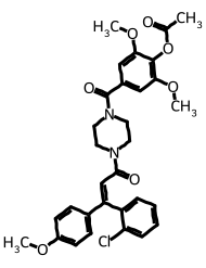 COc1ccc(/C(=C/C(=O)N2CCN(C(=O)c3cc(OC)c(OC(C)=O)c(OC)c3)CC2)c2ccccc2Cl)cc1